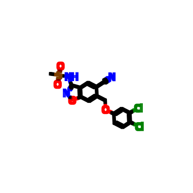 CS(=O)(=O)Nc1noc2cc(COc3ccc(Cl)c(Cl)c3)c(C#N)cc12